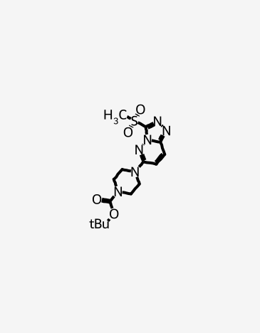 CC(C)(C)OC(=O)N1CCN(c2ccc3nnc(S(C)(=O)=O)n3n2)CC1